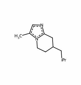 Cc1cnc2n1CCC(CC(C)C)C2